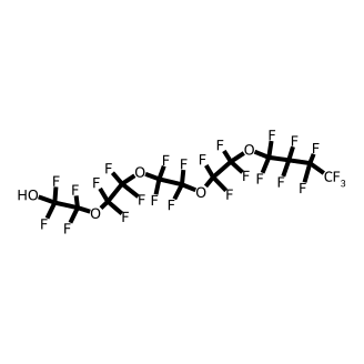 OC(F)(F)C(F)(F)OC(F)(F)C(F)(F)OC(F)(F)C(F)(F)OC(F)(F)C(F)(F)OC(F)(F)C(F)(F)C(F)(F)C(F)(F)F